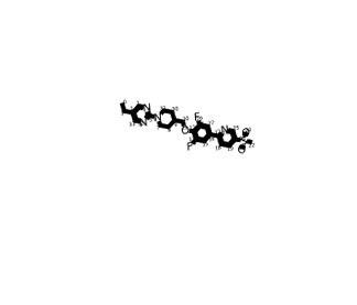 CCc1cnc(N2CCC(COc3c(F)cc(-c4ccc(S(C)(=O)=O)cn4)cc3F)CC2)nc1